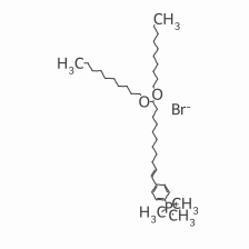 CCCCCCCCCCOC(CCCCCCCCC=Cc1ccc([P+](C)(C)C)cc1)OCCCCCCCCCC.[Br-]